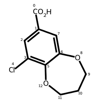 O=C(O)c1cc(Cl)c2c(c1)OCCCO2